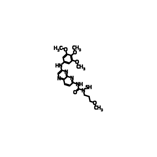 COCCCN(S)C(=O)Nc1ccc2ncc(Nc3cc(OC)c(OC)c(OC)c3)nc2n1